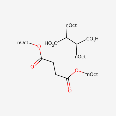 CCCCCCCCC(C(=O)O)C(CCCCCCCC)C(=O)O.CCCCCCCCOC(=O)CCC(=O)OCCCCCCCC